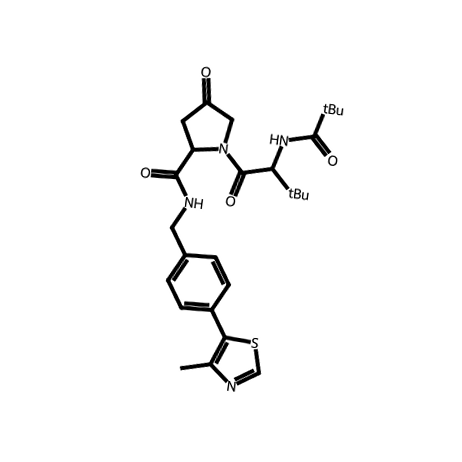 Cc1ncsc1-c1ccc(CNC(=O)C2CC(=O)CN2C(=O)C(NC(=O)C(C)(C)C)C(C)(C)C)cc1